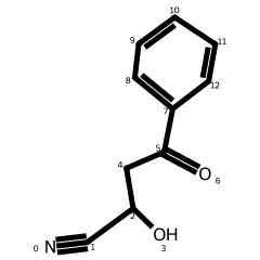 N#CC(O)CC(=O)c1ccccc1